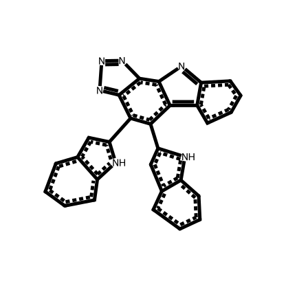 c1ccc2c(c1)=Nc1c3c(c(-c4cc5ccccc5[nH]4)c(-c4cc5ccccc5[nH]4)c1=2)=NN=N3